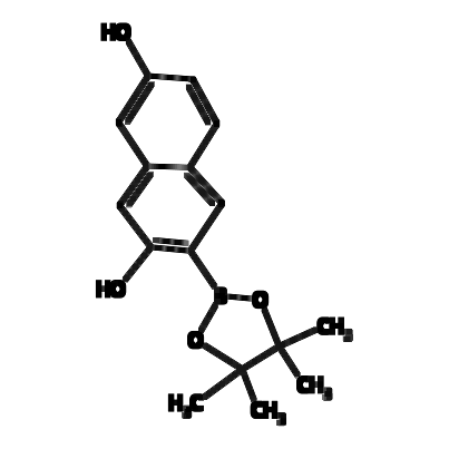 CC1(C)OB(c2cc3ccc(O)cc3cc2O)OC1(C)C